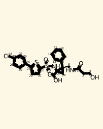 O=C(CCO)NC[C@@]1(c2ccccc2)CC1(NS(=O)(=O)c1ccc(-c2ccc(Cl)cc2)s1)C(=O)O